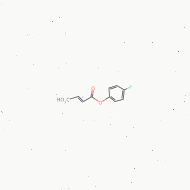 O=C(O)/C=C/C(=O)Oc1ccc(F)cc1